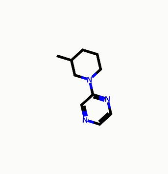 CC1CCCN(c2cnccn2)C1